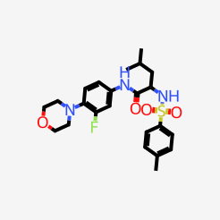 Cc1ccc(S(=O)(=O)NC(CC(C)C)C(=O)Nc2ccc(N3CCOCC3)c(F)c2)cc1